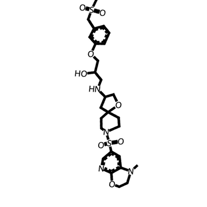 CN1CCOc2ncc(S(=O)(=O)N3CCC4(CC3)CC(NCC(O)COc3cccc(CS(C)(=O)=O)c3)CO4)cc21